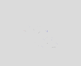 O=C1CCc2cc(Nc3nc(NC4CC4)c4cc[nH]c4n3)ccc2N1CCO